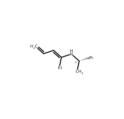 C=C/C=C(\CC)N[C@@H](C)C(C)C